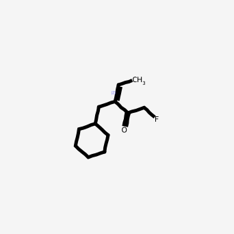 C/C=C(/CC1CCCCC1)C(=O)CF